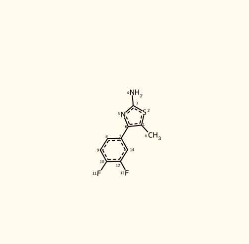 Cc1sc(N)nc1-c1ccc(F)c(F)c1